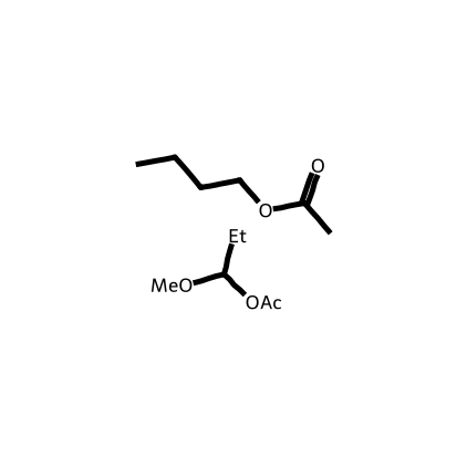 CCC(OC)OC(C)=O.CCCCOC(C)=O